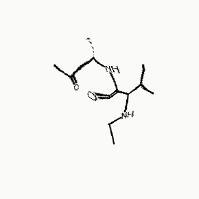 CCNC(C(=O)N[C@@H](C)C(C)=O)C(C)C